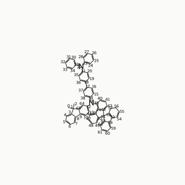 CC1(C)c2ccccc2-c2ccc(N(c3ccc(-c4ccc(N(c5ccccc5)c5ccccc5)cc4)cc3)c3cccc4c3-c3ccccc3C43C4=C(C=CCC4)c4ccccc43)cc21